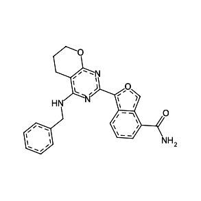 NC(=O)c1cccc2c(-c3nc(NCc4ccccc4)c4c(n3)OCCC4)occ12